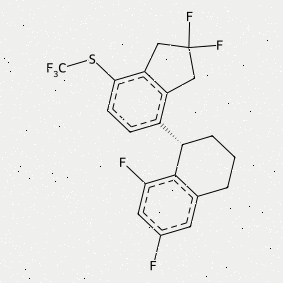 Fc1cc(F)c2c(c1)CCC[C@H]2c1ccc(SC(F)(F)F)c2c1CC(F)(F)C2